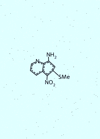 CSc1cc(N)c2ncccc2c1[N+](=O)[O-]